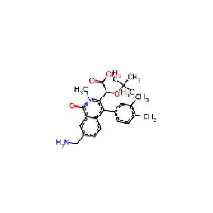 Cc1ccc(-c2c(C(OC(C)(C)C)C(=O)O)n(C)c(=O)c3cc(CN)ccc23)cc1C